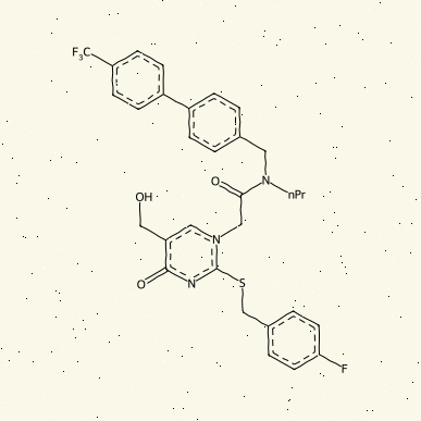 CCCN(Cc1ccc(-c2ccc(C(F)(F)F)cc2)cc1)C(=O)Cn1cc(CO)c(=O)nc1SCc1ccc(F)cc1